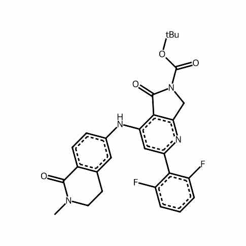 CN1CCc2cc(Nc3cc(-c4c(F)cccc4F)nc4c3C(=O)N(C(=O)OC(C)(C)C)C4)ccc2C1=O